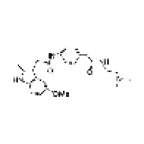 COc1ccc2[nH]c(C)c(CC(=O)Nc3ccc(CC(=O)NCCN(C)C)cc3)c2c1